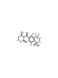 Cc1cc(C(=O)C2C(=O)CCCC2=O)c(C)c2c1S(=O)(=O)CCC2(C)C